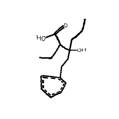 CCCC(O)(CCc1ccccc1)C(CC)C(=O)O